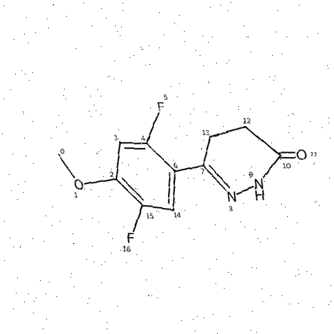 COc1cc(F)c(C2=NNC(=O)CC2)cc1F